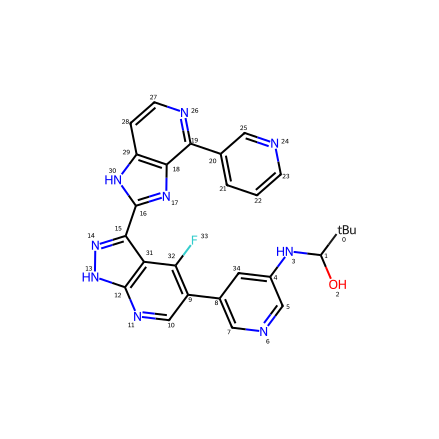 CC(C)(C)C(O)Nc1cncc(-c2cnc3[nH]nc(-c4nc5c(-c6cccnc6)nccc5[nH]4)c3c2F)c1